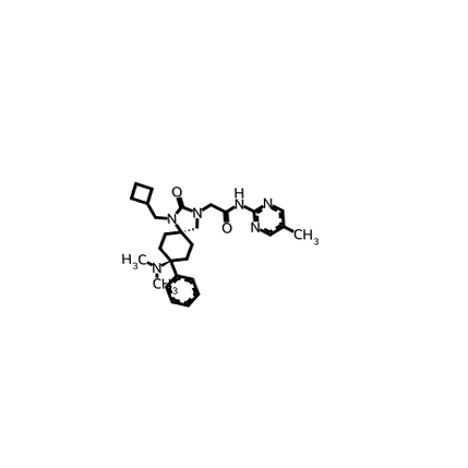 Cc1cnc(NC(=O)CN2C[C@]3(CC[C@](c4ccccc4)(N(C)C)CC3)N(CC3CCC3)C2=O)nc1